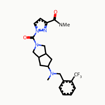 CNC(=O)c1ccn(C(=O)N2CC3CC(N(C)Cc4ccccc4C(F)(F)F)CC3C2)n1